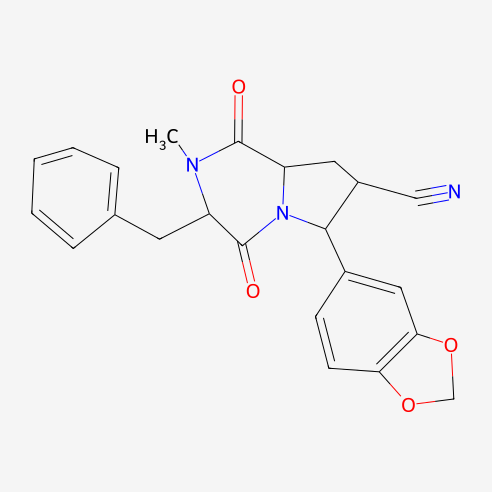 CN1C(=O)C2CC(C#N)C(c3ccc4c(c3)OCO4)N2C(=O)C1Cc1ccccc1